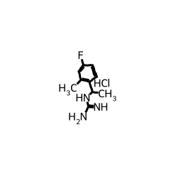 Cc1cc(F)ccc1C(C)NC(=N)N.Cl